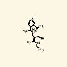 C=C(NC/C(C=N)=C(\C)NCC)c1ccc(F)cc1C(C)=O